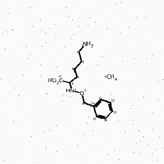 C.NCCCCC(NOCc1ccccc1)C(=O)O